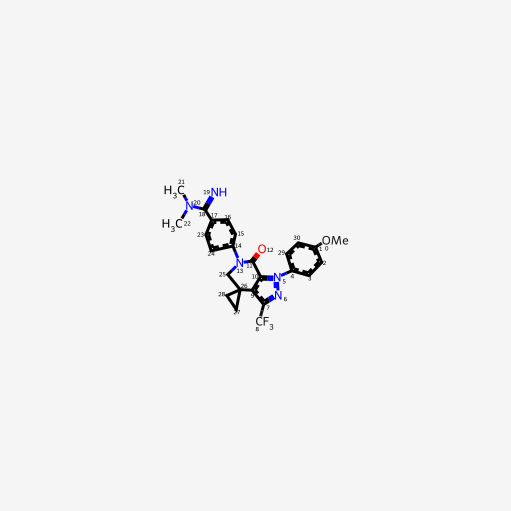 COc1ccc(-n2nc(C(F)(F)F)c3c2C(=O)N(c2ccc(C(=N)N(C)C)cc2)CC32CC2)cc1